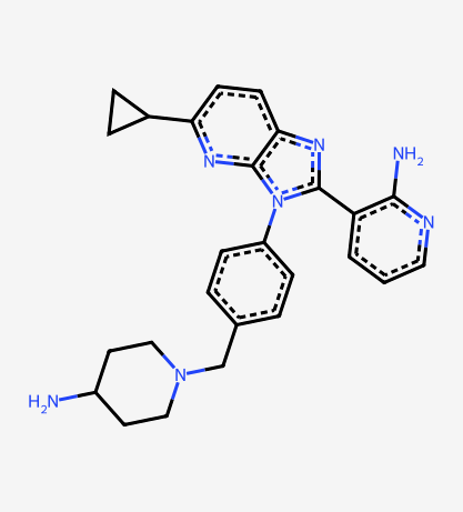 Nc1ncccc1-c1nc2ccc(C3CC3)nc2n1-c1ccc(CN2CCC(N)CC2)cc1